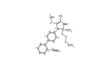 CCCCC1(C)NC(Cl)=C(CO)N1c1ccc(-c2ccccc2C#N)cc1